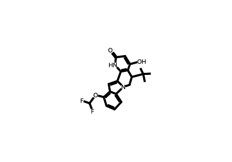 CC(C)(C)C1Cn2c(cc3c(OC(F)F)cccc32)-c2[nH]c(=O)cc(O)c21